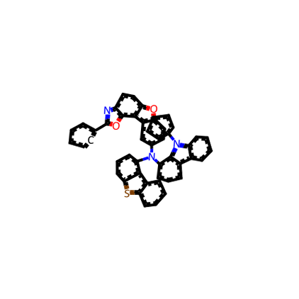 c1ccc(-c2nc3ccc4oc5ccc(N(c6cccc7sc8ccccc8c67)c6cccc7c8ccccc8n(-c8ccccc8)c67)cc5c4c3o2)cc1